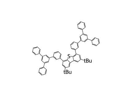 CC(C)(C)c1cc(-c2cccc(-c3cc(-c4ccccc4)cc(-c4ccccc4)c3)c2)c2sc3c(-c4cccc(-c5cc(-c6ccccc6)cc(-c6ccccc6)c5)c4)cc(C(C)(C)C)cc3c2c1